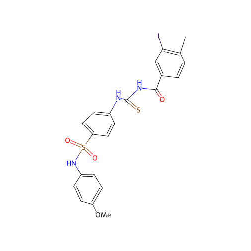 COc1ccc(NS(=O)(=O)c2ccc(NC(=S)NC(=O)c3ccc(C)c(I)c3)cc2)cc1